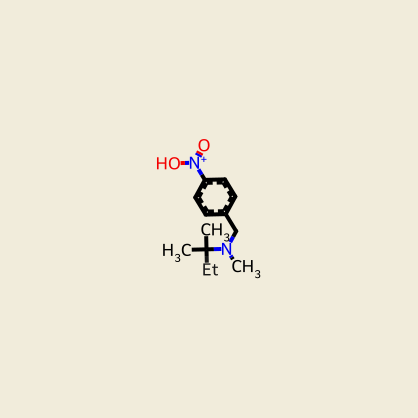 CCC(C)(C)N(C)Cc1ccc([N+](=O)O)cc1